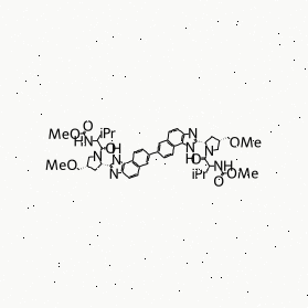 COC[C@H]1C[C@@H](c2nc3ccc4cc(-c5ccc6c(ccc7nc([C@@H]8C[C@H](COC)CN8C(=O)[C@@H](NC(=O)OC)C(C)C)[nH]c76)c5)ccc4c3[nH]2)N(C(=O)C(NC(=O)OC)C(C)C)C1